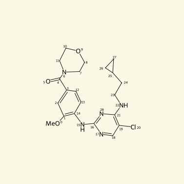 COc1cc(C(=O)N2CCOCC2)ccc1Nc1ncc(Cl)c(NCCC2CC2)n1